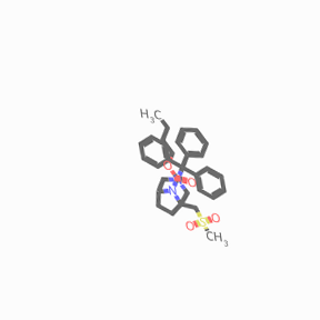 CCCCOC(=O)N1C2CCC1(CS(C)(=O)=O)CN(C(c1ccccc1)(c1ccccc1)c1ccccc1)C2